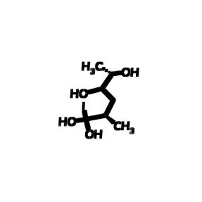 C[C@H](O)C(O)C[C@@H](C)C(O)(O)I